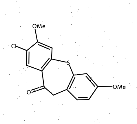 COc1ccc2c(c1)Sc1cc(OC)c(Cl)cc1C(=O)C2